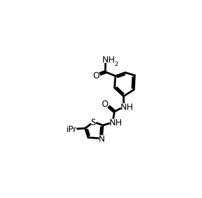 CC(C)c1cnc(NC(=O)Nc2cccc(C(N)=O)c2)s1